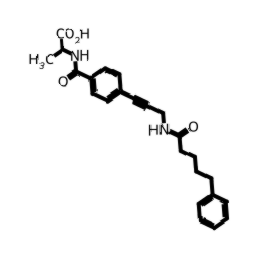 CC(NC(=O)c1ccc(C#CCNC(=O)CCCCc2ccccc2)cc1)C(=O)O